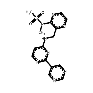 CN(c1nccnc1CNc1ccnc(-c2cncnc2)n1)S(C)(=O)=O